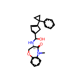 CN1C(=O)[C@@H](NC(O)C2=CC=C(C3(c4ccccc4)CC3)C2)COc2ccccc21